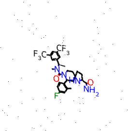 Cc1cc(F)ccc1C1CC2(CCC(C(N)=O)N2)CCN1C(=O)N(C)[C@H](C)c1cc(C(F)(F)F)cc(C(F)(F)F)c1